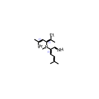 CC/C(C)=C(\C=C(\C)C(C)C)N(C)/C(C=N)=C/C=C(C)C